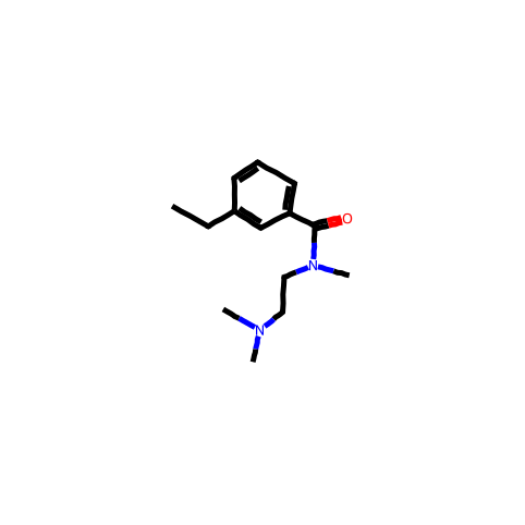 CCc1cccc(C(=O)N(C)CCN(C)C)c1